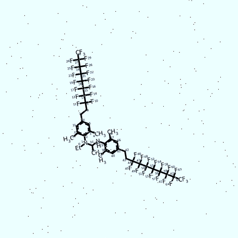 CCN(c1c(C)cc(CCC(F)(F)C(F)(F)C(F)(F)C(F)(F)C(F)(F)C(F)(F)C(F)(F)C(F)(F)F)cc1C)C(C)Nc1c(C)cc(CCC(F)(F)C(F)(F)C(F)(F)C(F)(F)C(F)(F)C(F)(F)C(F)(F)C(F)(F)F)cc1C